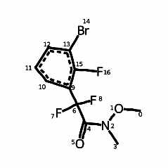 CON(C)C(=O)C(F)(F)c1cccc(Br)c1F